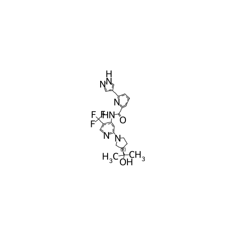 CC(C)(O)[C@@H]1CCN(c2cc(NC(=O)c3cccc(-c4cn[nH]c4)n3)c(C(F)(F)F)cn2)C1